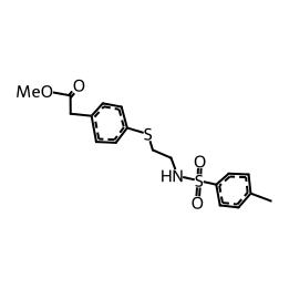 COC(=O)Cc1ccc(SCCNS(=O)(=O)c2ccc(C)cc2)cc1